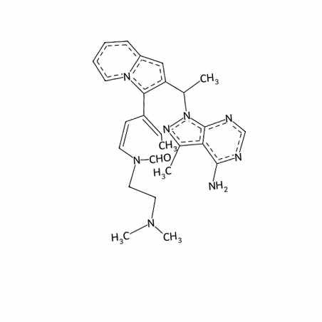 C/C=C(\C=C/N(C=O)CCN(C)C)c1c(C(C)n2nc(C)c3c(N)ncnc32)cc2ccccn12